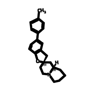 Cc1ccc(-c2ccc3c(c2)C[C@@]2(CCN4CCCC[C@@H]4C2)O3)cc1